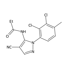 CCC(=O)Nc1c(C#N)cnn1-c1ccc(C)c(Cl)c1Cl